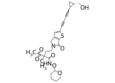 CC(CCN1Cc2cc(C#CC#C[C@H]3C[C@@H]3CO)sc2C1=O)(C(=O)NOC1CCCCO1)S(C)(=O)=O